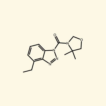 CCc1cccc2c1nnn2C(=O)N1COCC1(C)C